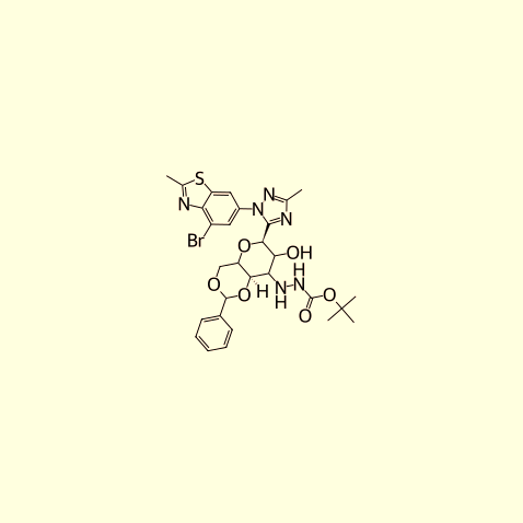 Cc1nc([C@@H]2OC3COC(c4ccccc4)O[C@@H]3C(NNC(=O)OC(C)(C)C)C2O)n(-c2cc(Br)c3nc(C)sc3c2)n1